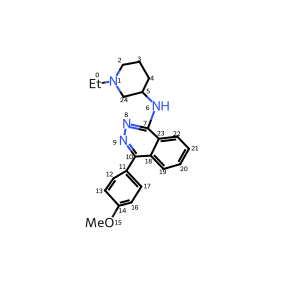 CCN1CCCC(Nc2nnc(-c3ccc(OC)cc3)c3ccccc23)C1